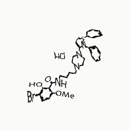 COc1ccc(Br)c(O)c1C(=O)NCCCCN1CCN(C2=CC=S(c3ccccc3)N2c2ccccc2)CC1.Cl